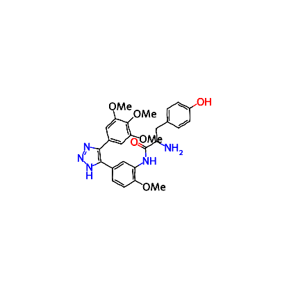 COc1ccc(-c2[nH]nnc2-c2cc(OC)c(OC)c(OC)c2)cc1NC(=O)C(N)Cc1ccc(O)cc1